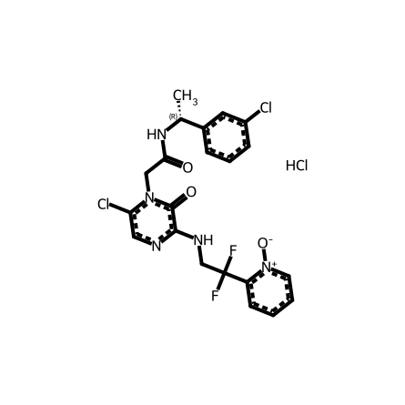 C[C@@H](NC(=O)Cn1c(Cl)cnc(NCC(F)(F)c2cccc[n+]2[O-])c1=O)c1cccc(Cl)c1.Cl